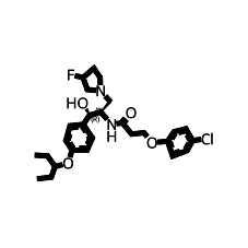 CCC(CC)Oc1ccc([C@@H](O)[C@@H](CN2CCC(F)C2)NC(=O)CCOc2ccc(Cl)cc2)cc1